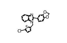 Clc1ccc(Cn2c(-c3ccc4c(c3)OCO4)nc3ccccc32)s1